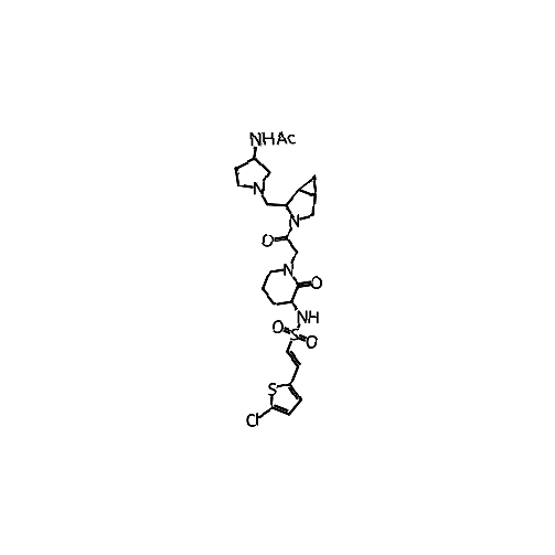 CC(=O)NC1CCN(CC2C3CC3CN2C(=O)CN2CCC[C@H](NS(=O)(=O)/C=C/c3ccc(Cl)s3)C2=O)C1